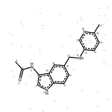 CC(=O)Nc1c[nH]c2ccc(CNc3ccc(C)nc3)cc12